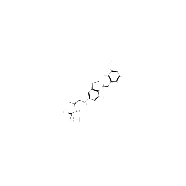 COc1cccc(CN2CCc3cc(CCC(C)N(O)C(N)=O)ccc32)c1